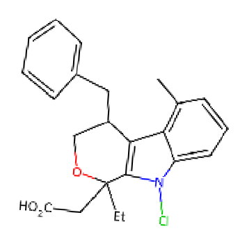 CCC1(CC(=O)O)OCC(Cc2ccccc2)c2c1n(Cl)c1cccc(C)c21